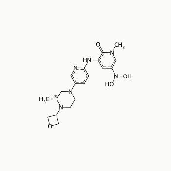 C[C@@H]1CN(c2ccc(Nc3cc(N(O)O)cn(C)c3=O)nc2)CCN1C1COC1